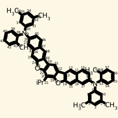 Cc1cc(C)cc(N(c2ccc3cc4c(cc3c2)oc2c(C(C)C)c3oc5cc6cc(N(c7cc(C)cc(C)c7)c7ccccc7C)ccc6cc5c3cc24)c2ccccc2C)c1